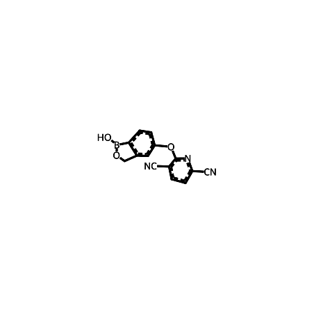 N#Cc1ccc(C#N)c(Oc2ccc3c(c2)COB3O)n1